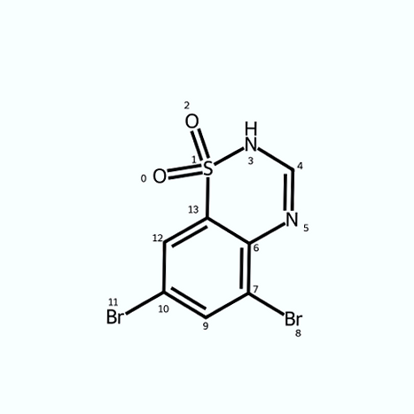 O=S1(=O)NC=Nc2c(Br)cc(Br)cc21